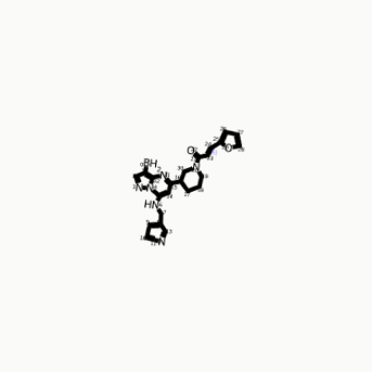 Bc1cnn2c(NCc3cccnc3)cc(C3CCCN(C(=O)/C=C/c4ccco4)C3)nc12